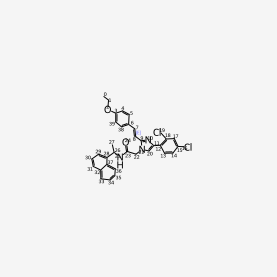 CCOc1ccc(/C=C/c2nc(-c3ccc(Cl)cc3Cl)cn2CC(=O)NC(C)c2cccc3ccccc23)cc1